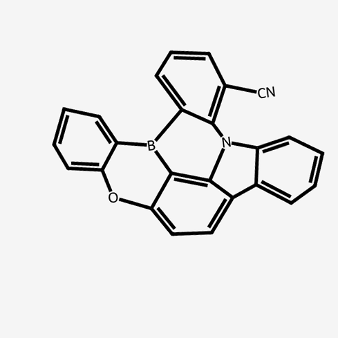 N#Cc1cccc2c1-n1c3ccccc3c3ccc4c(c31)B2c1ccccc1O4